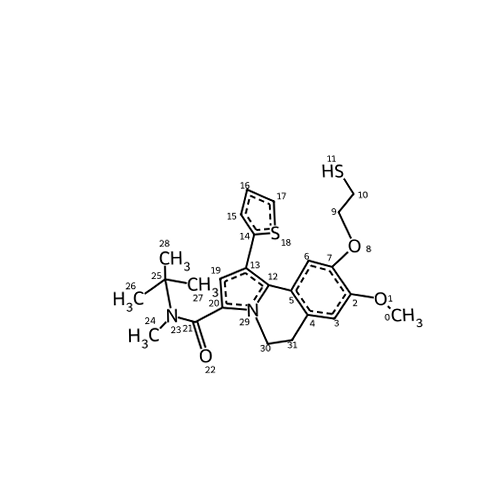 COc1cc2c(cc1OCCS)-c1c(-c3cccs3)cc(C(=O)N(C)C(C)(C)C)n1CC2